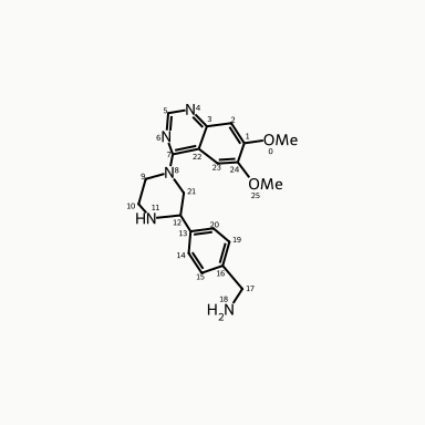 COc1cc2ncnc(N3CCNC(c4ccc(CN)cc4)C3)c2cc1OC